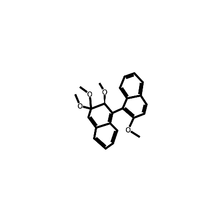 COc1ccc2ccccc2c1C1=c2ccccc2=CC(OC)(OC)[C@H]1OC